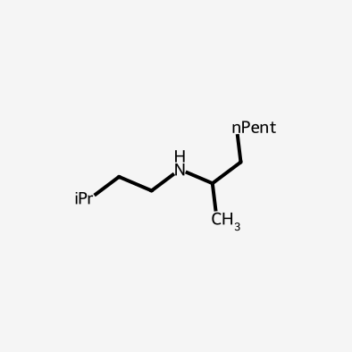 CCCCCCC(C)NCCC(C)C